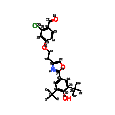 CC(C)(C)c1cc(-c2nc(CCOc3ccc(C=O)c(Cl)c3)co2)cc(C(C)(C)C)c1O